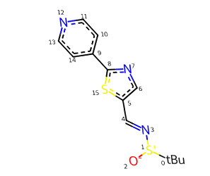 CC(C)(C)[S+]([O-])/N=C/c1cnc(-c2ccncc2)s1